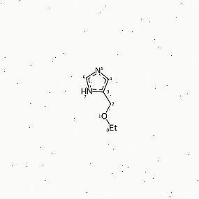 CCOCc1cnc[nH]1